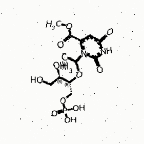 COC(=O)c1cc(=O)[nH]c(=O)n1C(C)O[C@H](COP(=O)(O)O)[C@H](O)CO